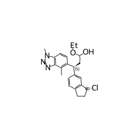 CCOC(O)C[C@@H](c1ccc2c(c1)[C@H](Cl)CC2)c1ccc2c(nnn2C)c1C